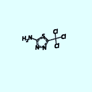 Nc1nnc(C(Cl)(Cl)Cl)s1